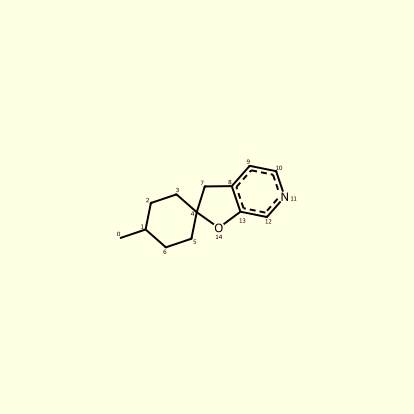 CC1CCC2(CC1)Cc1ccncc1O2